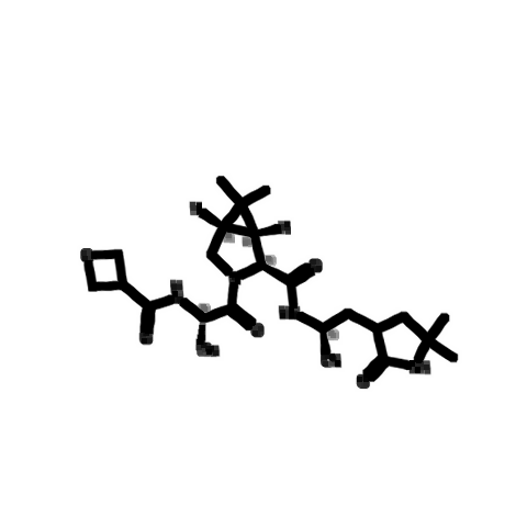 CC1(C)CC(C[C@@H](C#N)NC(=O)[C@@H]2[C@@H]3[C@H](CN2C(=O)[C@@H](NC(=O)C2COC2)C(C)(C)C)C3(C)C)C(=O)N1